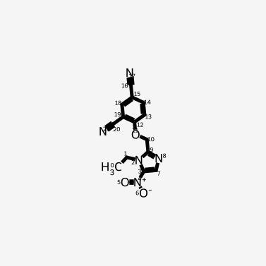 CCn1c([N+](=O)[O-])cnc1COc1ccc(C#N)cc1C#N